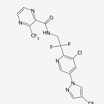 O=C(NCC(F)(F)c1ncc(-n2cc(C(F)(F)F)cn2)cc1Cl)c1nccnc1C(F)(F)F